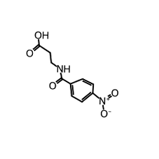 O=C(O)CCNC(=O)c1ccc([N+](=O)[O-])cc1